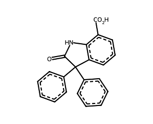 O=C(O)c1cccc2c1NC(=O)C2(c1ccccc1)c1ccccc1